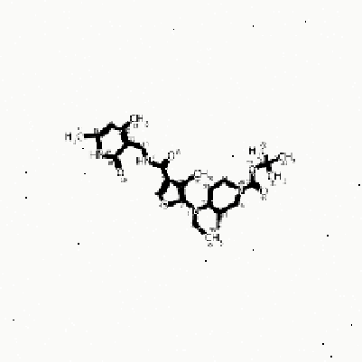 CCN(c1scc(C(=O)NCc2c(C)cc(C)[nH]c2=O)c1C)C1CCN(C(=O)OC(C)(C)C)CC1F